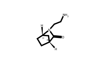 NCCN1C(=O)[C@@H]2CC[C@H]1C2